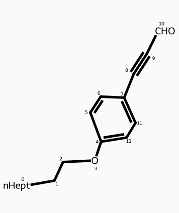 CCCCCCCCCOc1ccc(C#CC=O)cc1